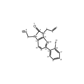 C=CCn1c(=O)n(CC(C)(C)C)c2ccc(-c3ccccc3F)nc21